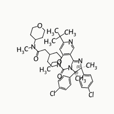 CCOc1cc(C(C)(C)C)ncc1C1=N[C@@](C)(c2ccc(Cl)cc2)[C@@](C)(c2ccc(Cl)cc2)N1C(=O)N1CCC(CC(=O)N(C)C2CCOCC2)CC1